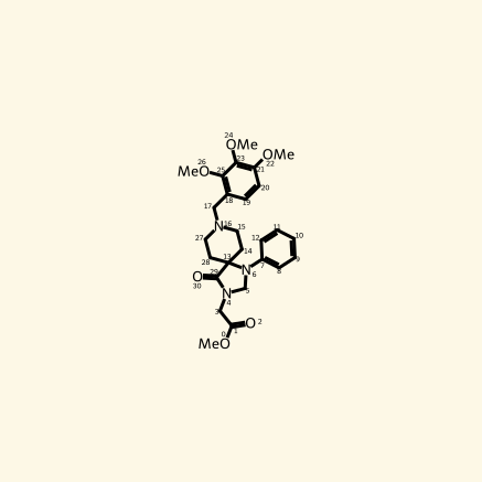 COC(=O)CN1CN(c2ccccc2)C2(CCN(Cc3ccc(OC)c(OC)c3OC)CC2)C1=O